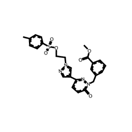 COC(=O)c1cccc(Cn2nc(-c3cnn(CCOS(=O)(=O)c4ccc(C)cc4)c3)ccc2=O)c1